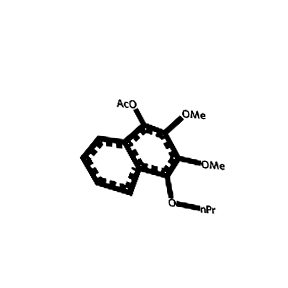 CCCOc1c(OC)c(OC)c(OC(C)=O)c2ccccc12